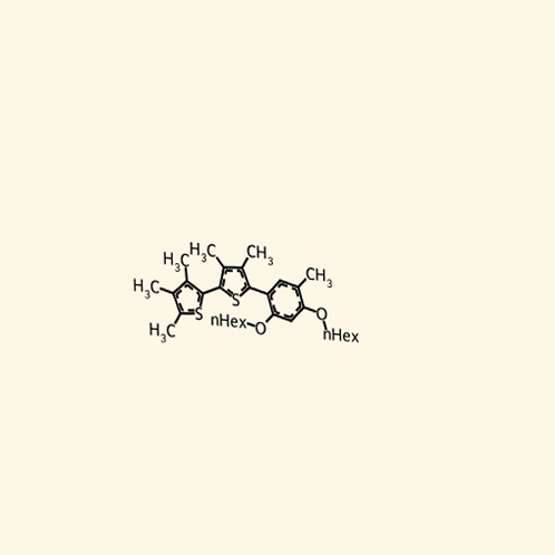 CCCCCCOc1cc(OCCCCCC)c(-c2sc(-c3sc(C)c(C)c3C)c(C)c2C)cc1C